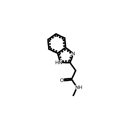 CNC(=O)Cc1nc2ccccc2[nH]1